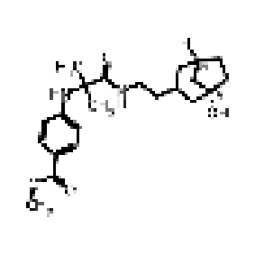 COC(=O)c1ccc(NC(C)(C)C(=O)NCCC2C[C@@H]3CC[C@@](O)(C2)C3)cc1